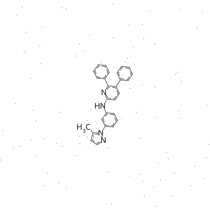 Cc1ccnn1-c1cccc(Nc2ccc(-c3ccccc3)c(-c3ccccc3)n2)c1